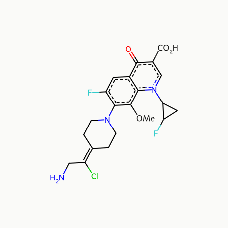 COc1c(N2CCC(=C(Cl)CN)CC2)c(F)cc2c(=O)c(C(=O)O)cn(C3CC3F)c12